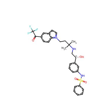 CC(C)(CCn1ccc2cc(C(=O)C(F)(F)F)ccc21)NC[C@H](O)c1cccc(NS(=O)(=O)c2ccccc2)c1